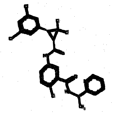 CN(NC(=O)c1cc(NC(=O)[C@H]2[C@H](c3cc(Cl)cc(Cl)c3)C2(Cl)Cl)ccc1Cl)c1ccccn1